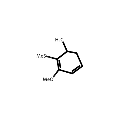 COC1=C(SC)[C](C)CC=C1